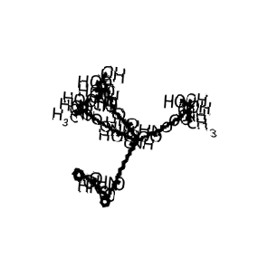 CC(=O)NC1C(OCCOCCOCCNC(=O)CCOCC(COCCC(=O)NCCOCCOCCOC2OC(CO)C(O)C(O)C2NC(C)=O)(COCCC(O)NCCOCCOCCOC2OC(CO)C(O)C(O)C2NC(C)=O)NC(=O)CCCCCCCCCCC(=O)NCCOC2(OCCNC(=O)OCc3ccccc3)CCCCC2)OC(CO)C(O)C1O